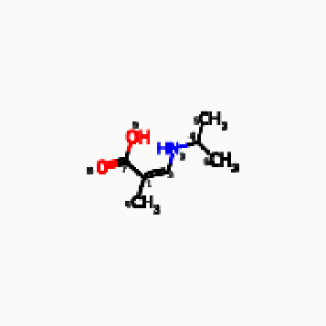 CC(=CNC(C)C)C(=O)O